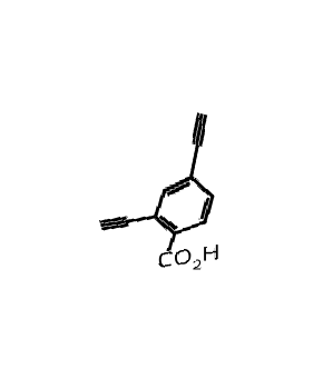 C#Cc1ccc(C(=O)O)c(C#C)c1